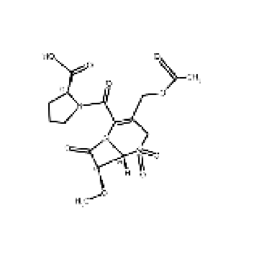 CO[C@H]1C(=O)N2C(C(=O)N3CCC[C@H]3C(=O)O)=C(COC(C)=O)CS(=O)(=O)[C@H]12